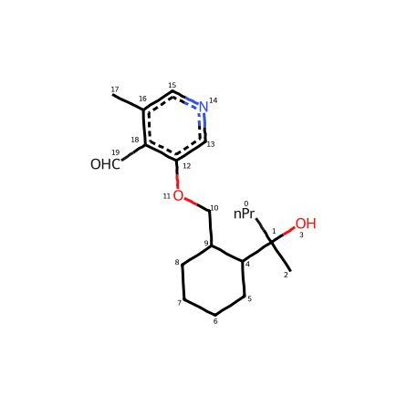 CCCC(C)(O)C1CCCCC1COc1cncc(C)c1C=O